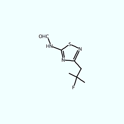 CC(C)(F)Cc1nsc(NC=O)n1